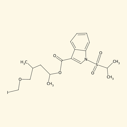 CC(COCI)CC(C)OC(=O)c1cn(S(=O)(=O)C(C)C)c2ccccc12